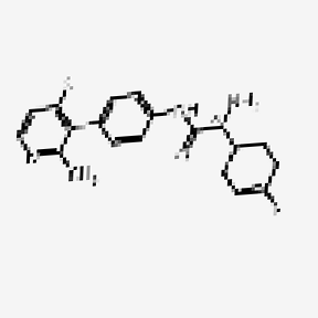 Cc1nccc(Cl)c1-c1ccc(NC(=O)[C@@H](N)C2CC=C(F)CC2)cc1